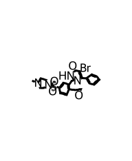 CN1CCN(S(=O)(=O)c2ccc(C3CO3)c(-c3nc(-c4ccccc4)c(Br)c(=O)[nH]3)c2)CC1